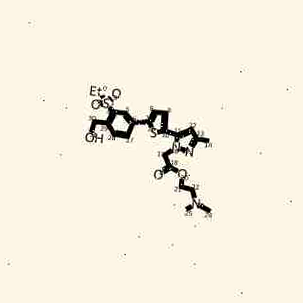 CCS(=O)(=O)c1cc(-c2ccc(-c3cc(C)nn3CC(=O)OCCN(C)C)s2)ccc1CO